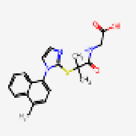 Cc1ccc(-n2ccnc2SC(C)(C)C(=O)NCC(=O)O)c2ccccc12